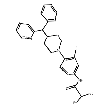 CCC(CC)C(=O)Nc1ccc(N2CCC(C(c3ccccn3)c3ccccn3)CC2)c(F)c1